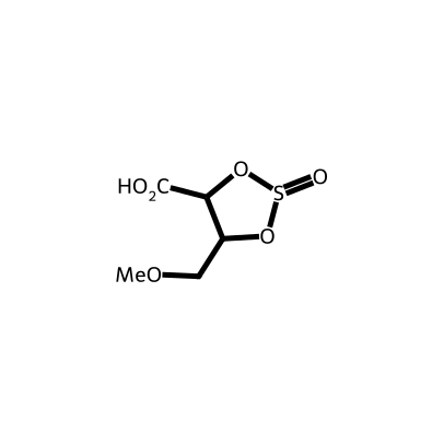 COCC1OS(=O)OC1C(=O)O